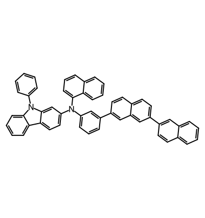 c1ccc(-n2c3ccccc3c3ccc(N(c4cccc(-c5ccc6ccc(-c7ccc8ccccc8c7)cc6c5)c4)c4cccc5ccccc45)cc32)cc1